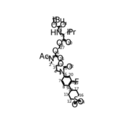 CC(=O)N(C[C@H]1CN(c2ccc(C3CCS(=O)(=O)CC3)c(F)c2)C(=O)O1)C(=O)OCOC(=O)[C@H](NC(=O)OC(C)(C)C)C(C)C